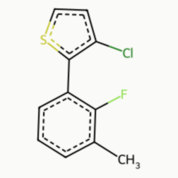 Cc1cccc(-c2sccc2Cl)c1F